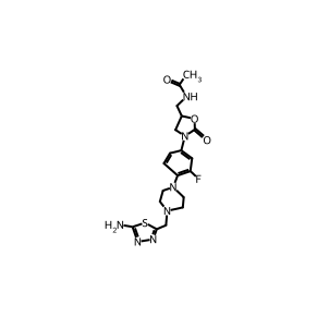 CC(=O)NCC1CN(c2ccc(N3CCN(Cc4nnc(N)s4)CC3)c(F)c2)C(=O)O1